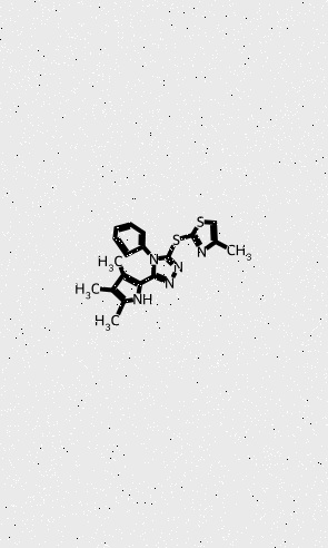 Cc1csc(Sc2nnc(-c3[nH]c(C)c(C)c3C)n2-c2ccccc2)n1